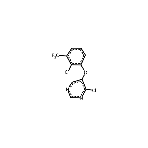 FC(F)(F)c1cccc(Oc2cncnc2Cl)c1Cl